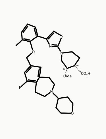 CO[C@@H]1CN(c2nc(-c3cccc(C)c3OCc3cc(F)c4c(c3)CCN(C3CCOCC3)CC4)cs2)CC[C@@H]1C(=O)O